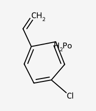 C=Cc1ccc(Cl)cc1.[PoH2]